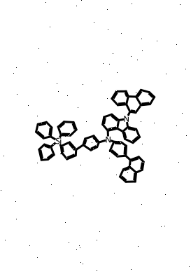 c1ccc([Si](c2ccccc2)(c2ccccc2)c2cccc(-c3ccc(N(c4ccc(-c5cccc6ccccc56)cc4)c4cccc5c4c4ccccc4n5-c4cc5ccccc5c5ccccc45)cc3)c2)cc1